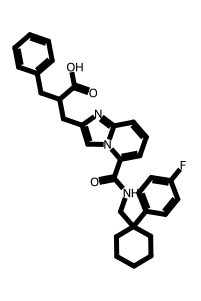 O=C(NCC1(c2ccc(F)cc2)CCCCC1)c1cccc2nc(CC(Cc3ccccc3)C(=O)O)cn12